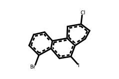 Clc1ccc2c(I)cc3c(Br)cccc3c2c1